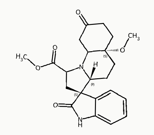 COC(=O)C1C[C@@]2(C(=O)Nc3ccccc32)[C@H]2CC[C@]3(OC)CCC(=O)CC3N12